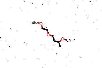 CCCCOCCOCCC(C)OC#N